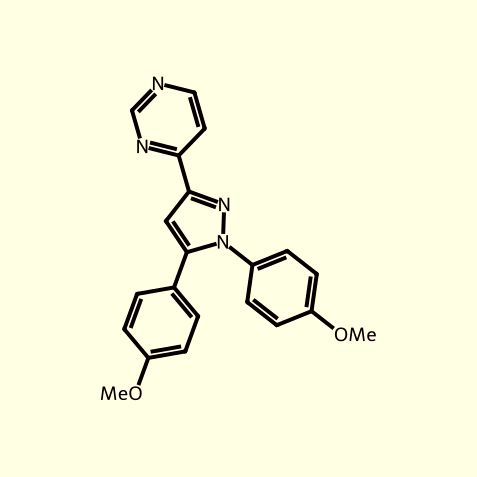 COc1ccc(-c2cc(-c3ccncn3)nn2-c2ccc(OC)cc2)cc1